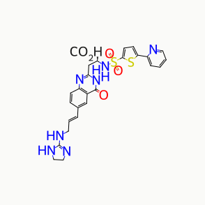 O=C(O)[C@H](Cc1nc2ccc(C=CCNC3=NCCN3)cc2c(=O)[nH]1)NS(=O)(=O)c1ccc(-c2ccccn2)s1